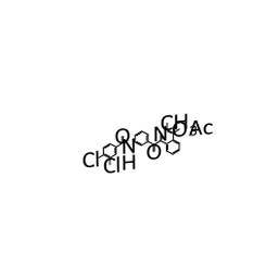 CC(=O)Oc1c(C)nc(C(=O)c2cccc(NC(=O)c3ccc(Cl)c(Cl)c3)c2)c2ccccc12